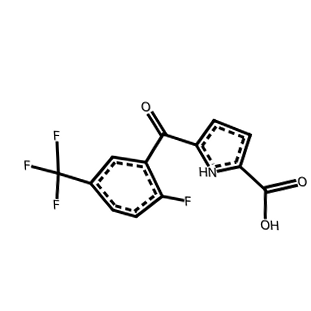 O=C(O)c1ccc(C(=O)c2cc(C(F)(F)F)ccc2F)[nH]1